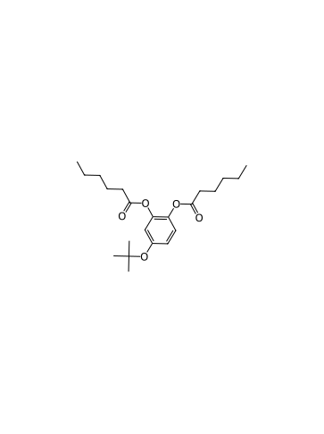 CCCCCC(=O)Oc1ccc(OC(C)(C)C)cc1OC(=O)CCCCC